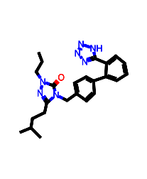 CCCn1nc(CCC(C)C)n(Cc2ccc(-c3ccccc3-c3nnn[nH]3)cc2)c1=O